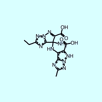 CCc1nc2n(n1)N=C(C(=O)O)C2(N)Nc1c(C(=O)O)[nH]n2nc(C)nc12